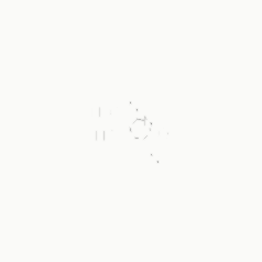 CC1CCCCN1c1ccc2c(n1)OCCNC2.Cl